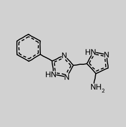 Nc1cn[nH]c1-c1n[nH]c(-c2ccccc2)n1